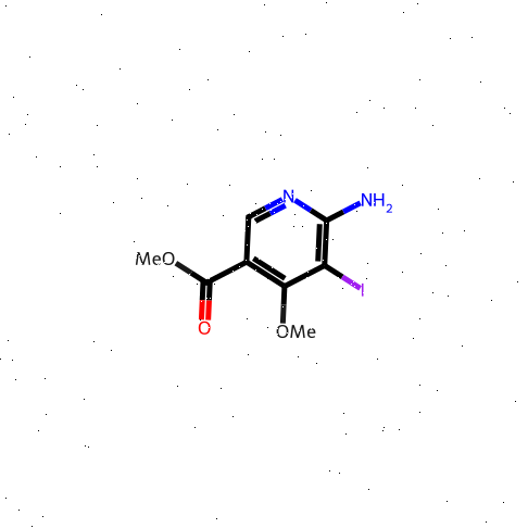 COC(=O)c1cnc(N)c(I)c1OC